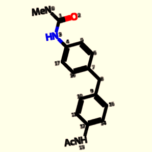 CNC(=O)Nc1ccc(Cc2ccc(NC(C)=O)cc2)cc1